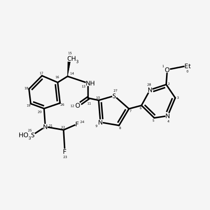 CCOc1cncc(-c2cnc(C(=O)N[C@H](C)c3cccc(N(C(F)F)S(=O)(=O)O)c3)s2)n1